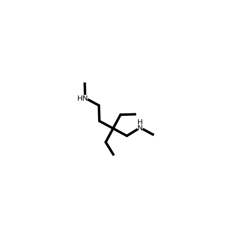 CCC(CC)(CCNC)CNC